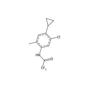 Cc1cc(C2CC2)c(Cl)cc1NC(=O)C(F)(F)F